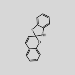 C1=CC2(Nc3ccccc3S2)Oc2ccccc21